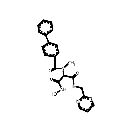 CN(C(=O)c1ccc(-c2ccccc2)cc1)C(C(=O)NO)C(=O)NCc1ncccn1